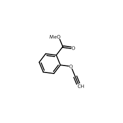 C#COc1ccccc1C(=O)OC